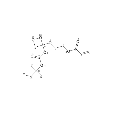 C=CC(=O)OCCOC1(OC(=O)OC(C)(C)CC)COO1